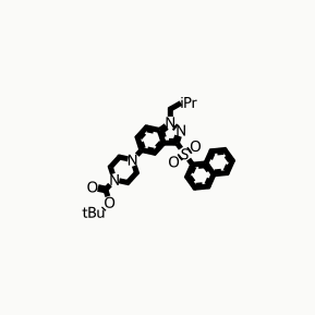 CC(C)Cn1nc(S(=O)(=O)c2cccc3ccccc23)c2cc(N3CCN(C(=O)OC(C)(C)C)CC3)ccc21